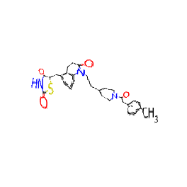 Cc1ccc(CC(=O)N2CCC(CCN3C(=O)CCc4c(CC5SC(=O)NC5=O)cccc43)CC2)cc1